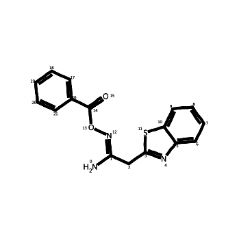 NC(Cc1nc2ccccc2s1)=NOC(=O)c1ccccc1